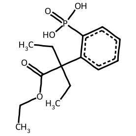 CCOC(=O)C(CC)(CC)c1ccccc1P(=O)(O)O